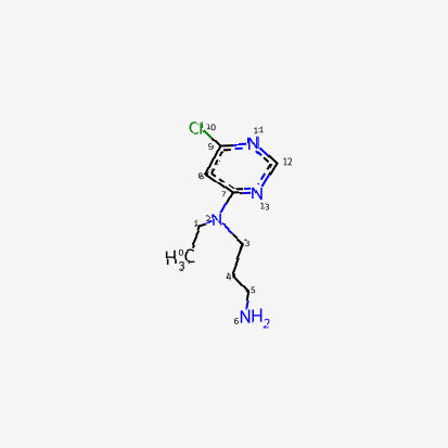 CCN(CCCN)c1cc(Cl)ncn1